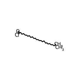 CC(C)CCCCCCCCCCCCCCCCCCCCCCCCC(=O)Cl